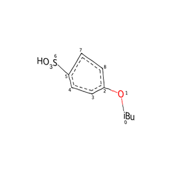 CCC(C)Oc1ccc(S(=O)(=O)O)cc1